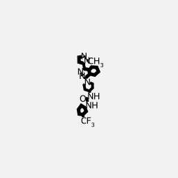 Cn1nccc1-c1nnc(N2CCC(NC(=O)Nc3cccc(C(F)(F)F)c3)CC2)c2ccccc12